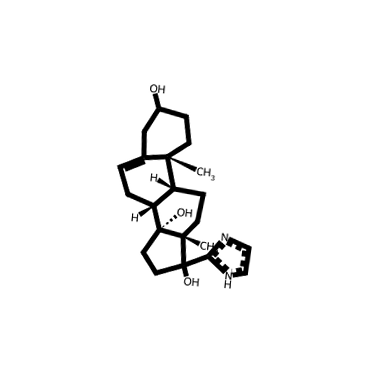 C[C@]12CCC(O)CC1=CC[C@@H]1[C@H]2CC[C@]2(C)C(O)(c3ncc[nH]3)CC[C@@]12O